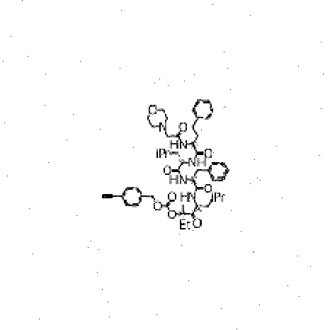 C#Cc1ccc(COC(=O)O[C@](C)(CC)C(=O)[C@H](CC(C)C)NC(=O)[C@H](Cc2ccccc2)NC(=O)[C@H](CC(C)C)NC(=O)[C@H](CCc2ccccc2)NC(=O)CN2CCOCC2)cc1